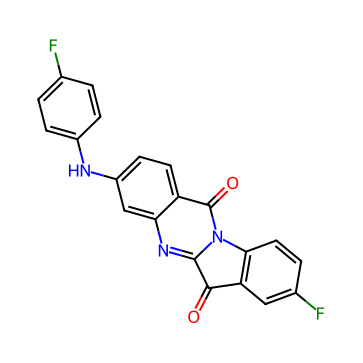 O=C1c2cc(F)ccc2-n2c1nc1cc(Nc3ccc(F)cc3)ccc1c2=O